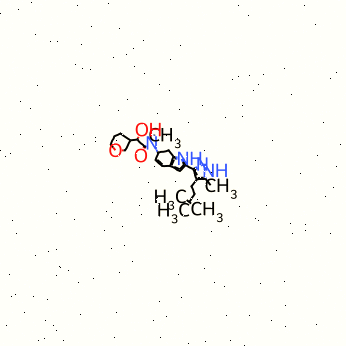 Cc1[nH]nc(-c2cc3c([nH]2)CC(N(C)C(=O)C(O)C2CCCOC2)C=C3)c1CCC(C)(C)C